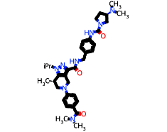 CC(C)n1nc(C(=O)NCc2ccc(NC(=O)N3CC[C@@H](N(C)C)C3)cc2)c2c1[C@@H](C)CN(c1ccc(C(=O)N(C)C)cc1)C2